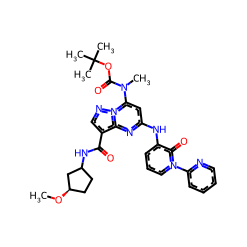 CO[C@@H]1CCC(NC(=O)c2cnn3c(N(C)C(=O)OC(C)(C)C)cc(Nc4cccn(-c5ccccn5)c4=O)nc23)C1